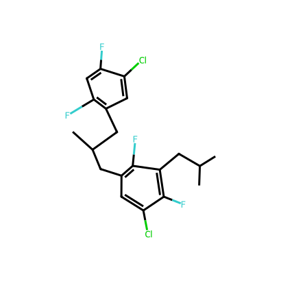 CC(C)Cc1c(F)c(Cl)cc(CC(C)Cc2cc(Cl)c(F)cc2F)c1F